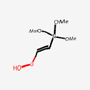 CO[Si](C=COO)(OC)OC